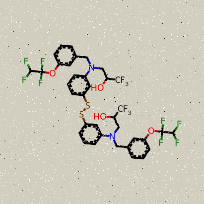 OC(CN(Cc1cccc(OC(F)(F)C(F)F)c1)c1cccc(SSc2cccc(N(Cc3cccc(OC(F)(F)C(F)F)c3)CC(O)C(F)(F)F)c2)c1)C(F)(F)F